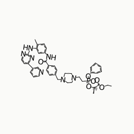 CCOC(=O)[C@@H](C)OP(=O)(CCN1CCN(Cc2ccc(C(=O)Nc3ccc(C)c(Nc4nccc(-c5cccnc5)n4)c3)cc2)CC1)Oc1ccccc1